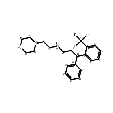 FC(F)(F)c1ccccc1C(CCNCCN1CCOCC1)c1ccccc1